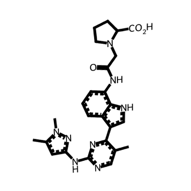 Cc1cnc(Nc2cc(C)n(C)n2)nc1-c1c[nH]c2c(NC(=O)CN3CCCC3C(=O)O)cccc12